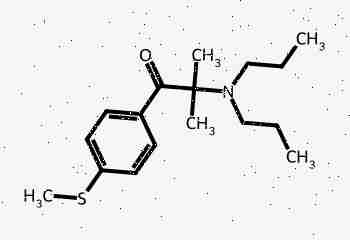 CCCN(CCC)C(C)(C)C(=O)c1ccc(SC)cc1